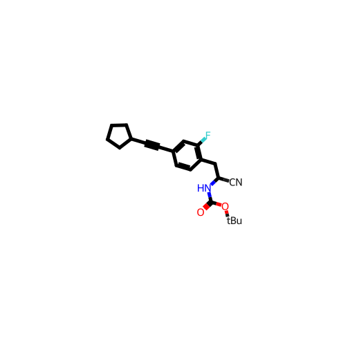 CC(C)(C)OC(=O)NC(C#N)Cc1ccc(C#CC2CCCC2)cc1F